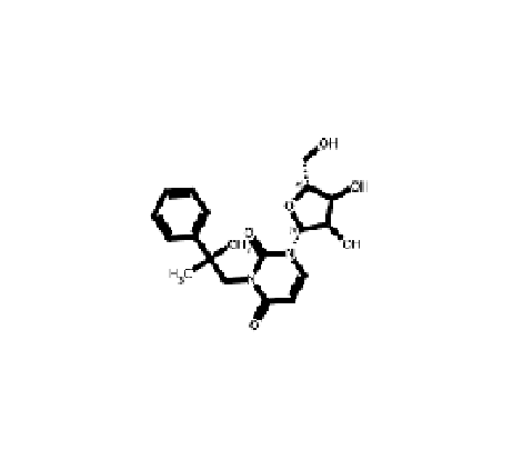 CC(C)(Cn1c(=O)ccn([C@@H]2O[C@H](CO)C(O)C2O)c1=O)c1ccccc1